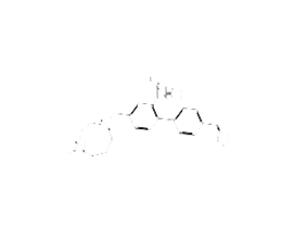 CN1CCCN(Cc2ccc(-c3ccc(C=O)cc3)c([N+](=O)[O-])c2)CC1